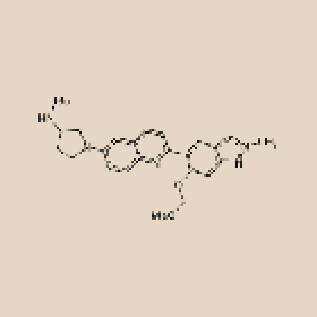 COCOc1cc2nn(C)cc2cc1-c1ccc2cc(N3CCC(NC(C)(C)C)C3)ncc2n1